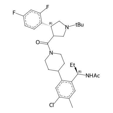 CC[C@@H](NC(C)=O)c1cc(C)c(Cl)cc1C1CCN(C(=O)C2CN(C(C)(C)C)C[C@H]2c2ccc(F)cc2F)CC1